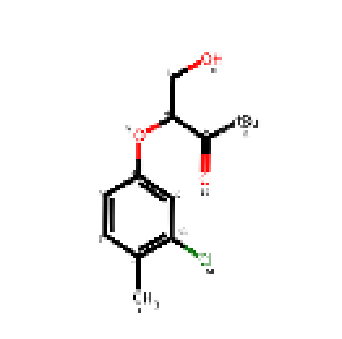 Cc1ccc(OC(CO)C(=O)C(C)(C)C)cc1Cl